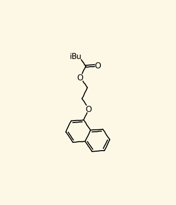 CCC(C)C(=O)OCCOc1cccc2ccccc12